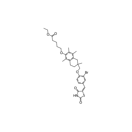 CCOC(=O)CCCCOc1c(C)c(C)c2c(c1C)CCC(C)(COc1ccc(C=C3SC(=O)NC3=O)cc1Br)C2